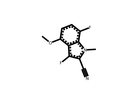 COc1ccc(F)c2c1c(F)c(C#N)n2C